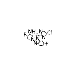 NC1CN(c2nc3ccc(F)cc3n2Cc2ncc(Cl)cn2)CCC1F